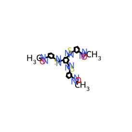 Cc1nc(-c2cccc(-c3nc(-c4cc(-c5nsc(-c6cccc(-c7noc(C)n7)c6)n5)cc(-c5nsc(-c6cccc(-c7noc(C)n7)c6)n5)c4)ns3)c2)no1